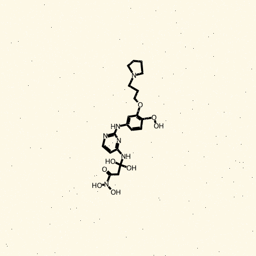 O=C(CC(O)(O)Nc1ccnc(Nc2ccc(OO)c(OCCCN3CCCC3)c2)n1)N(O)O